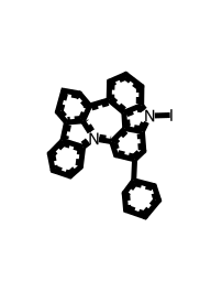 In1c2cccc3c4cccc5c6ccccc6n(c6cc(-c7ccccc7)cc1c6c32)c45